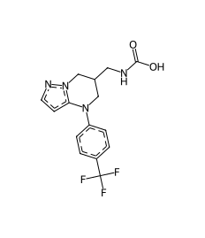 O=C(O)NCC1CN(c2ccc(C(F)(F)F)cc2)c2ccnn2C1